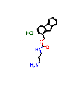 Cl.NCCCNC(=O)OCc1cccc2c1Cc1ccccc1-2